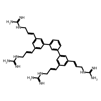 N=C(N)NC/C=C/c1cc(/C=C/CNC(=N)N)cc(-c2cccc(-c3cc(/C=C/CNC(=N)N)cc(/C=C/CNC(=N)N)c3)c2)c1